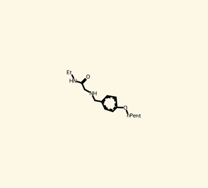 CCCCCOc1ccc(CNCC(=O)NCC)cc1